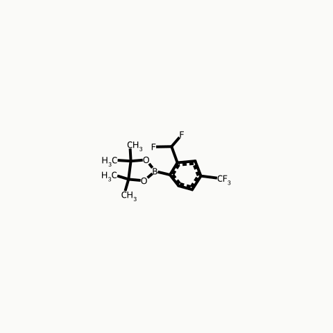 CC1(C)OB(c2ccc(C(F)(F)F)cc2C(F)F)OC1(C)C